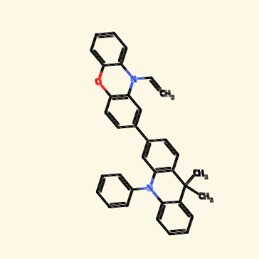 C=CN1c2ccccc2Oc2ccc(-c3ccc4c(c3)N(c3ccccc3)c3ccccc3C4(C)C)cc21